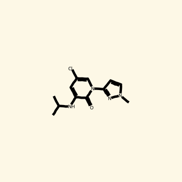 CC(C)Nc1cc(Cl)cn(-c2ccn(C)n2)c1=O